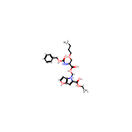 CCCCOCC(NC(=O)OCc1ccccc1)C(=O)OCn1c(C(=O)OCC)cc2occc21